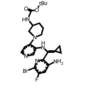 CC(C)(C)OC(=O)NC1CCCN(c2ccncc2NC(=C2CC2)c2nc(Br)c(F)cc2N)C1